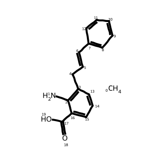 C.Nc1c(CC=Cc2ccccc2)cccc1C(=O)O